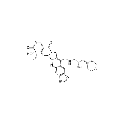 CC[C@@]1(O)C(=O)OCc2c1cc1n(c2=O)Cc2c-1nc1cc3c(cc1c2CNC[C@H](O)CN1CCOCC1)OCO3